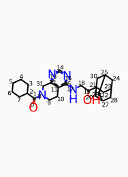 O=C(C1CCCCC1)N1CCc2c(ncnc2NCC(O)C23CC4CC(CC(C4)C2)C3)C1